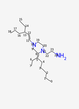 CCCCCC(CC)=C1CN(C=CC(CC)CCC)CCN1CCN